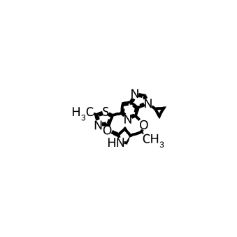 Cc1ncc(-c2cc3ncn(C4CC4)c3c(O[C@H](C)[C@H]3CNC(=O)C3)n2)s1